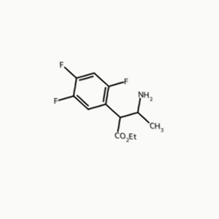 CCOC(=O)C(c1cc(F)c(F)cc1F)C(C)N